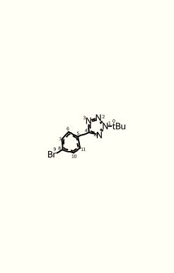 CC(C)(C)n1nnc(-c2ccc(Br)cc2)n1